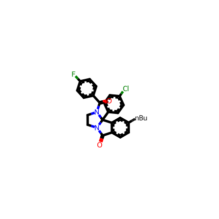 CCCCc1ccc2c(c1)C1(c3ccc(Cl)cc3)N(C(=O)c3ccc(F)cc3)CCN1C2=O